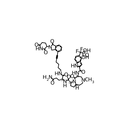 CN1CC[C@H]2CC[C@@H](C(=O)N[C@@H](CCC(N)=O)C(=O)NCCCCC#Cc3cccc4c3CN(C3CCC(=O)NC3=O)C4=O)N2C(=O)[C@@H](NC(=O)c2cc3cc(C(F)(F)P(=O)(O)O)ccc3[nH]2)C1